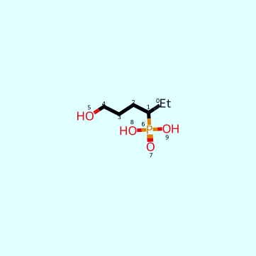 CCC(CCCO)P(=O)(O)O